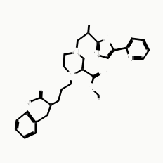 CC(CN1CCN(CCCC(Cc2ccccc2)C(N)=O)C(C(=O)NCC(F)(F)F)C1)c1ncc(-c2ccccn2)o1